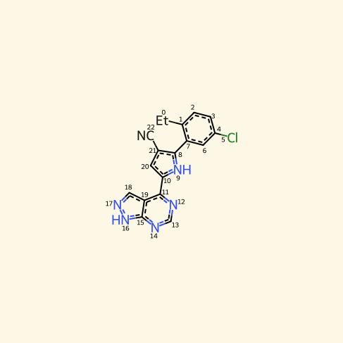 CCc1ccc(Cl)cc1-c1[nH]c(-c2ncnc3[nH]ncc23)cc1C#N